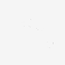 CC(C)[C@H]1CN(C(=O)OCc2ccccc2)CCN1C(=O)[C@H]1CC[C@@H](C)CC1